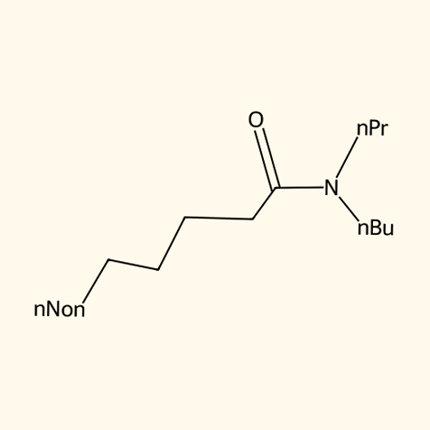 CCCCCCCCCCCCCC(=O)N(CCC)CCCC